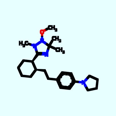 CON1N(C)C([C@@H]2CCCC[C@@H]2CCc2ccc(N3CCCC3)cc2)=NC1(C)C